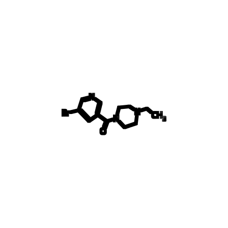 CCN1CCN(C(=O)c2cncc(Br)c2)CC1